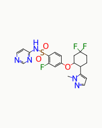 Cn1nccc1C1CCC(F)(F)CC1Oc1ccc(S(=O)(=O)Nc2ccncn2)c(F)c1